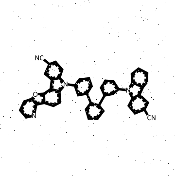 N#Cc1ccc2c(c1)c1ccccc1n2-c1cccc(-c2ccccc2-c2cccc(-n3c4ccc(C#N)cc4c4c5oc6cccnc6c5ccc43)c2)c1